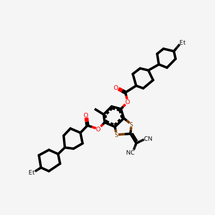 CCC1CCC(C2CCC(C(=O)Oc3cc(C)c(OC(=O)C4CCC(C5CCC(CC)CC5)CC4)c4c3SC(=C(C#N)C#N)S4)CC2)CC1